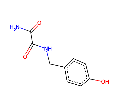 NC(=O)C(=O)NCc1ccc(O)cc1